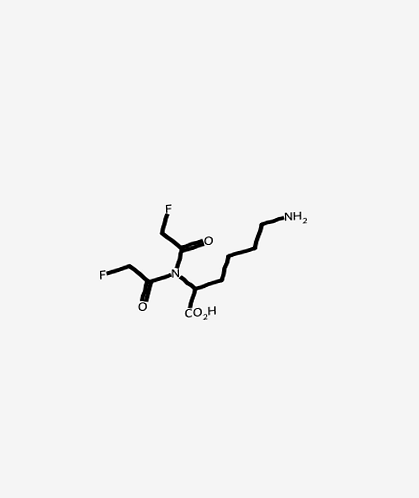 NCCCCC(C(=O)O)N(C(=O)CF)C(=O)CF